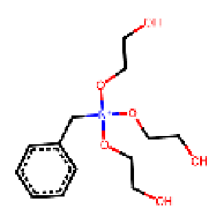 OCCO[N+](Cc1ccccc1)(OCCO)OCCO